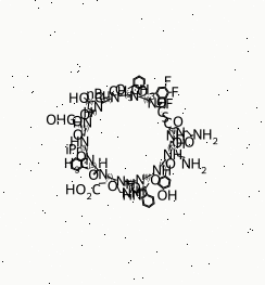 CCCC[C@H]1C(=O)N2C[C@H](O)C[C@@H]2C(=O)N[C@@H](COC=O)C(=O)N[C@@H](C(C)C)C(=O)N(C)[C@@H](Cc2ccccc2)C(=O)N[C@@H](CCC(=O)O)C(=O)N2CCNC[C@@H]2C(=O)N[C@@H](Cc2c[nH]c3ccccc23)C(=O)N[C@@H](Cc2ccc(O)cc2)C(=O)N[C@@H](CCCN)C(=O)N[C@H](C(=O)NCC(N)=O)CSCC(=O)N[C@@H](Cc2cc(F)c(F)c(F)c2)C(=O)N(C)[C@@H](Cc2ccccc2)C(=O)N1C